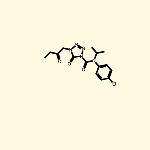 CCC(=O)Cn1nnn(C(=O)N(c2ccc(Cl)cc2)C(C)C)c1=O